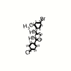 Cc1cc(Br)ccc1NC(=S)NC(=O)c1ccc(Cl)cc1